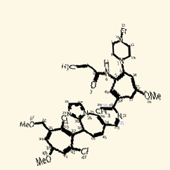 C=CC(=O)NC1=C(N2CCN(CC)CC2)C=C(OC)CC(C(=C/C)/N=C\C2=Cn3ccnc3C(C3=C(Cl)C(COC)=CC(OC)C=C3Cl)C=C2)=C1